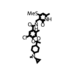 CSc1cc(C)[nH]c(=O)c1CNC(=O)c1cc(Cl)c2c(c1C)OC(C)(C1CCC(N(C)C3CC3)CC1)O2